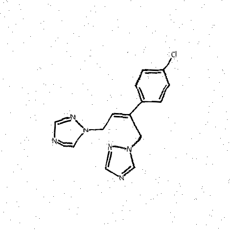 Clc1ccc(C(=CCn2cncn2)Cn2cncn2)cc1